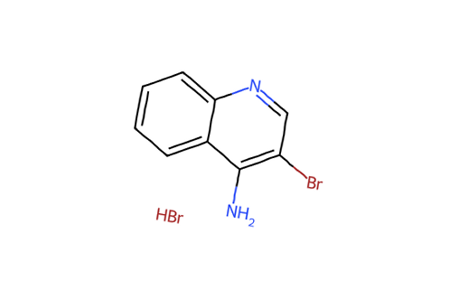 Br.Nc1c(Br)cnc2ccccc12